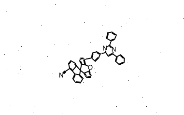 N#Cc1cccc2c1-c1ccccc1C21c2ccccc2Oc2c(-c3ccc(-c4cc(-c5ccccc5)nc(-c5ccccc5)n4)cc3)cccc21